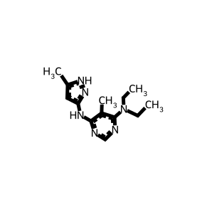 CCN(CC)c1ncnc(Nc2cc(C)[nH]n2)c1C